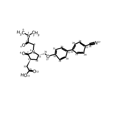 CN(C)C(=O)CN1C(=O)[C@H](CC(=O)O)C[C@H]1COc1ccc(-c2ccc(C#N)cc2)cc1